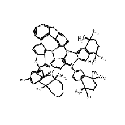 CC(C)(C)c1ccc2c(c1)C1(C)CCCCC1(C)N2c1cc2c3c(c1)N(c1cccc4oc5ccccc5c14)c1c(ccc4sc5ccccc5c14)B3c1cc3c(cc1N2c1ccc2c(c1)C(C)(C)CCC2(C)C)C(C)(C)CCC3(C)C